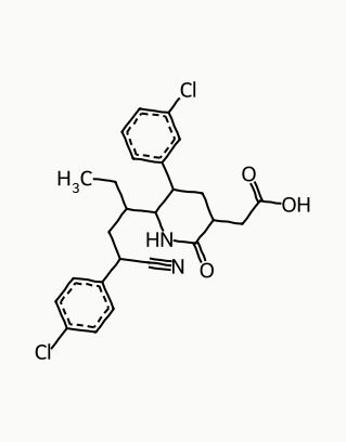 CCC(CC(C#N)c1ccc(Cl)cc1)C1NC(=O)C(CC(=O)O)CC1c1cccc(Cl)c1